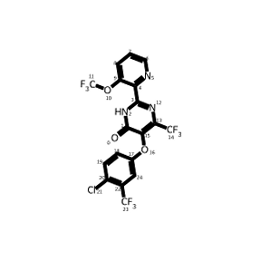 O=c1[nH]c(-c2ncccc2OC(F)(F)F)nc(C(F)(F)F)c1Oc1ccc(Cl)c(C(F)(F)F)c1